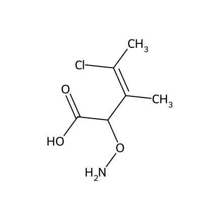 C/C(Cl)=C(\C)C(ON)C(=O)O